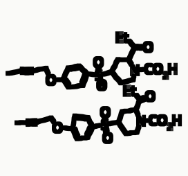 CC#CCOc1ccc(S(=O)(=O)C2CCN(C(=O)O)C(C(=O)CC)C2)cc1.CC#CCOc1ccc(S(=O)(=O)C2CCN(C(=O)O)C(C(=O)CC)C2)cc1